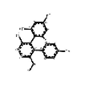 CCc1nnc(Cl)c(-c2c(F)cc(F)cc2F)c1-c1ccc(F)cc1